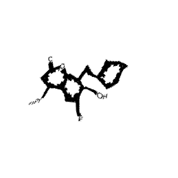 CCCc1cc(=O)oc2c(Cc3ccccc3)c(O)c(F)cc12